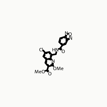 COC(=O)c1cc2cc(Cl)cc(CNC(=O)c3ccc4nonc4c3)c2nc1OC